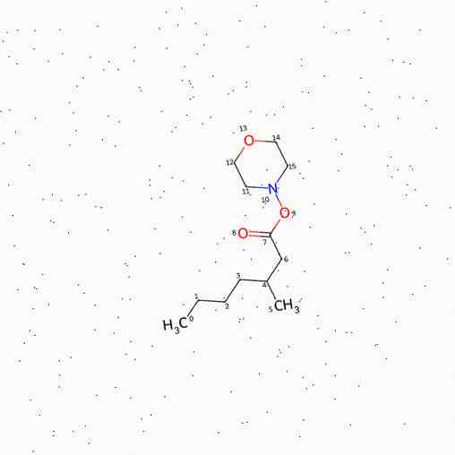 CCCCC(C)CC(=O)ON1CCOCC1